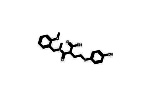 COc1ccccc1CN(C)C(=O)C(CCSc1ccc(O)cc1)C(=O)O